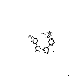 Cc1cc(-c2ccc(C(F)(F)F)nc2)cc(-c2cccc(-c3cccc(S(=O)(=O)NC(C)(C)C)c3)c2)n1